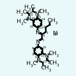 CCCCC(C=Nc1ccc(N(C)CC)c(N(C)CC)c1)=Nc1ccc(N(C)CC)c(N(C)CC)c1.[Ni]